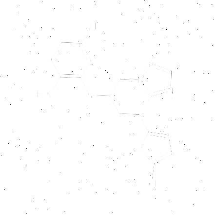 Cc1ccc(Cl)cc1SC(CCc1ccc(Cl)s1)Cn1ccnc1